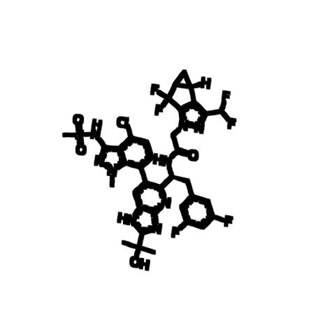 Cn1nc(NS(C)(=O)=O)c2c(Cl)ccc(-c3cc4[nH]c(C(C)(C)O)nc4nc3[C@H](Cc3cc(F)cc(F)c3)NC(=O)Cn3nc(C(F)F)c4c3C(F)(F)C3C[C@H]43)c21